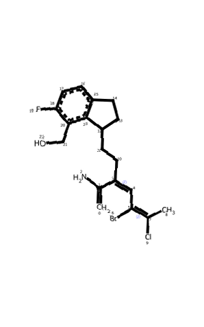 C=C(N)/C(=C\C(Br)=C(/C)Cl)CCC1CCc2ccc(F)c(CO)c21